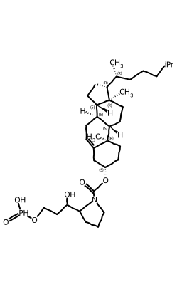 CC(C)CCC[C@@H](C)[C@H]1CC[C@H]2[C@@H]3CC=C4C[C@@H](OC(=O)N5CCCC5C(O)CCO[PH](=O)O)CC[C@]4(C)[C@H]3CC[C@]12C